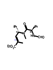 CCOC(=O)/C(C)=C/[C@H](C(C)C)N(C)C(=O)[C@H](NC=O)C(C)C